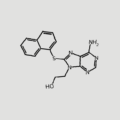 Nc1ncnc2c1nc(Sc1cccc3ccccc13)n2CCO